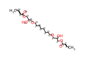 CC=CC(=O)OCC(O)COCCCCCCCCOCC(O)COC(=O)C=CC